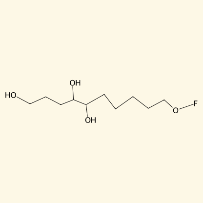 OCCCC(O)C(O)CCCCCOF